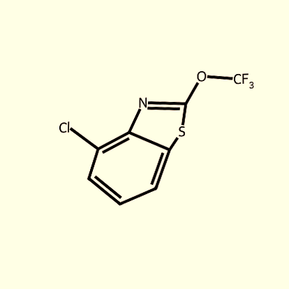 FC(F)(F)Oc1nc2c(Cl)cccc2s1